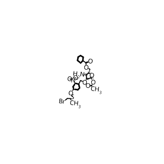 CC(=O)O[C@@H]1O[C@H](COC(=O)c2ccccc2)[C@@H](N)[C@H]1OCc1ccc(OSC(C)CBr)cc1[N+](=O)[O-]